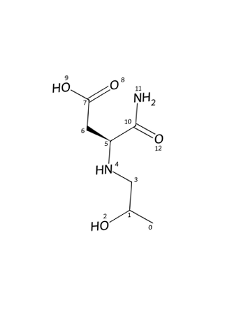 CC(O)CN[C@@H](CC(=O)O)C(N)=O